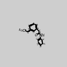 CC(=O)OCc1cccc(CC(=O)Nc2ccccc2)c1